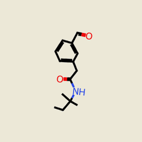 CCC(C)(C)NC(=O)Cc1cccc(C=O)c1